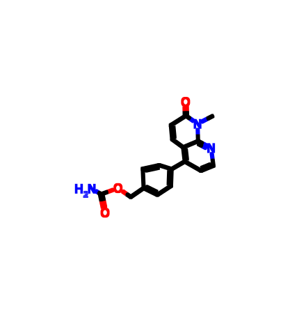 Cn1c(=O)ccc2c(-c3ccc(COC(N)=O)cc3)ccnc21